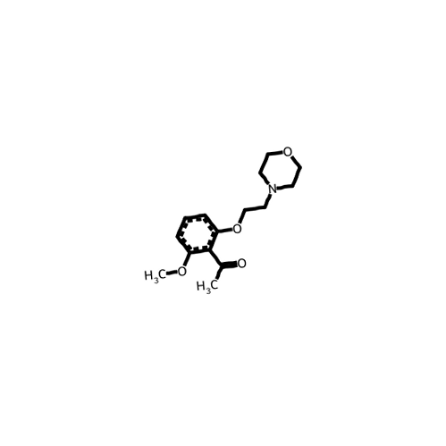 COc1cccc(OCCN2CCOCC2)c1C(C)=O